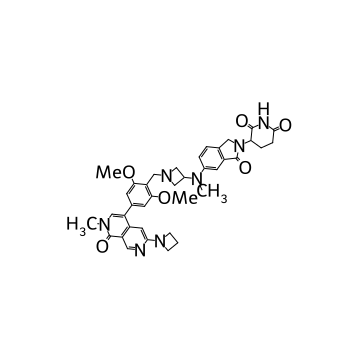 COc1cc(-c2cn(C)c(=O)c3cnc(N4CCC4)cc23)cc(OC)c1CN1CC(N(C)c2ccc3c(c2)C(=O)N(C2CCC(=O)NC2=O)C3)C1